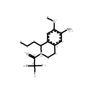 CCCC1c2cc(OC)c(N)cc2CCN1C(=O)C(F)(F)F